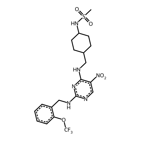 CS(=O)(=O)NC1CCC(CNc2nc(NCc3ccccc3OC(F)(F)F)ncc2[N+](=O)[O-])CC1